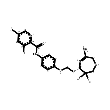 NC1=N[C@@H](CCOc2ccc(NC(=O)c3ncc(Cl)cc3Cl)cc2)C(F)(F)COC1